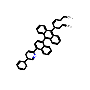 C=CCC(/C=C\CCC)c1c2ccccc2c(-c2ccc(C3=CCC(C4C=CC=CC4)C=N3)c3ccccc23)c2ccccc12